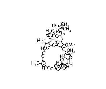 C=C1C[C@@H]2CC[C@@]34CC5O[C@H]6[C@@H](O3)[C@H]3O[C@H](CC[C@@H]3O[C@H]6[C@H]5O4)CC(O)CC3C(CC4O[C@@H](CCC1O2)C[C@@H](C)C4=C)OC(C[C@@H](CO[Si](C)(C)C(C)(C)C)O[Si](C)(C)C(C)(C)C)[C@@H]3OC